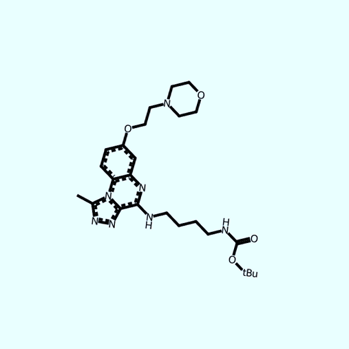 Cc1nnc2c(NCCCCNC(=O)OC(C)(C)C)nc3cc(OCCN4CCOCC4)ccc3n12